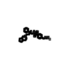 CN(CC(C)(CCN1CCC2CCCC2C1)c1ccccc1)S(=O)(=O)c1ccc(CN)cc1